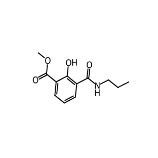 CCCNC(=O)c1cccc(C(=O)OC)c1O